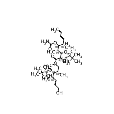 C=CC=C[C@H](C)[C@H](OC(N)=O)[C@@H](C)[C@H](O[Si](C)(C)C(C)(C)C)[C@@H](C)C(=O)N(C)C[C@H](C)[C@@H](O[Si](C)(C)C(C)(C)C)[C@@H](C)C=CCO